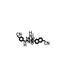 N#CCc1ccc(Nc2nc(N)n(S(=O)(=O)c3ccc4cc(CC#N)ccc4c3)n2)cc1